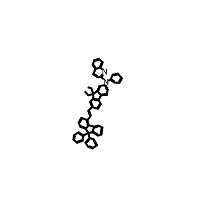 CCC1(CC)c2cc(/C=C/c3cccc4c3-c3ccccc3C4(c3ccccc3)c3ccccc3)ccc2-c2ccc(N(c3ccccc3)c3ccc4ccccc4n3)cc21